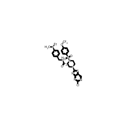 CCN(C)c1ccc(CNC(=O)[C@H]2CN(c3nc4nc(Cl)ncc4s3)CCN2S(=O)(=O)c2ccc(OC(F)(F)F)cc2)cc1